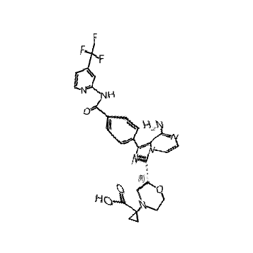 Nc1nccn2c([C@H]3CN(C4(C(=O)O)CC4)CCO3)nc(-c3ccc(C(=O)Nc4cc(C(F)(F)F)ccn4)cc3)c12